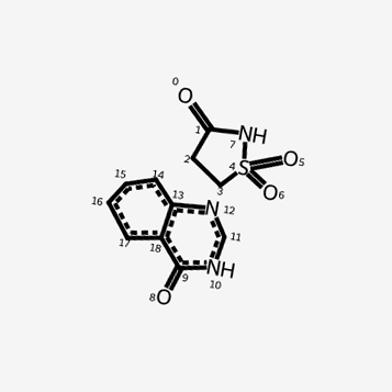 O=C1CCS(=O)(=O)N1.O=c1[nH]cnc2ccccc12